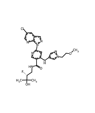 COCCn1cc(Nc2cc(-n3ncc4cc(Cl)cnc43)ncc2C(=O)NC[C@@H](F)C(C)(C)O)cn1